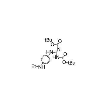 CCNc1ccc(NC(=NC(=O)OC(C)(C)C)NC(=O)OC(C)(C)C)cc1